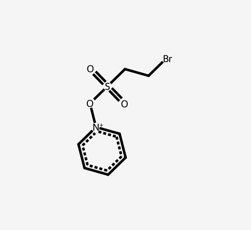 O=S(=O)(CCBr)O[n+]1ccccc1